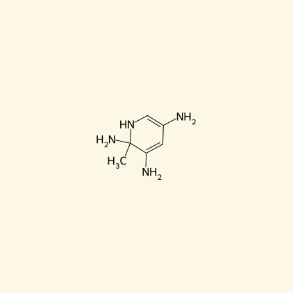 CC1(N)NC=C(N)C=C1N